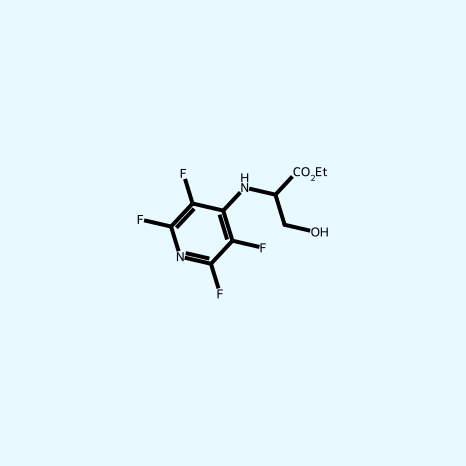 CCOC(=O)C(CO)Nc1c(F)c(F)nc(F)c1F